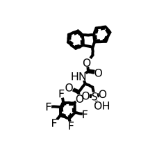 O=C(NC(CS(=O)(=O)O)C(=O)Oc1c(F)c(F)c(F)c(F)c1F)OCC1c2ccccc2-c2ccccc21